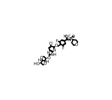 CS(=O)(=NC(=O)c1cc(F)c(COc2nc3[nH]c(O[C@@H]4CO[C@H]5[C@@H]4OC[C@H]5O)nc3cc2Cl)c(F)c1)C1CCOCC1